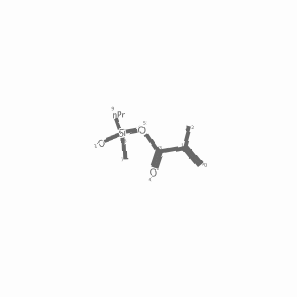 C=C(C)C(=O)O[Si](C)([O])CCC